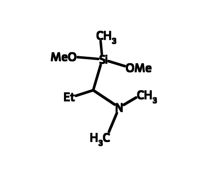 CCC(N(C)C)[Si](C)(OC)OC